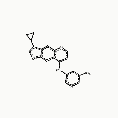 Nc1cncc(Nc2ccnc3cc4c(C5CC5)csc4cc23)c1